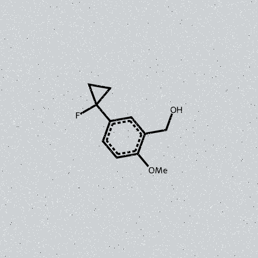 COc1ccc(C2(F)CC2)cc1CO